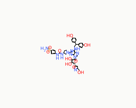 NS(=O)(=O)c1ccc(NC(=O)NC2CCN(c3nc(NCC(c4ccc(O)cc4)c4ccc(O)cc4)c4ncn([C@@H]5O[C@H](c6cc(CO)no6)[C@@H](O)[C@H]5O)c4n3)C2)cc1